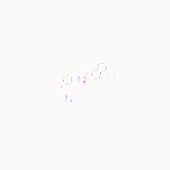 CCN(CC)CCCCN(Cc1cc2c(cc1Cl)OCO2)S(=O)(=O)c1ccc2c(Cl)cccc2c1